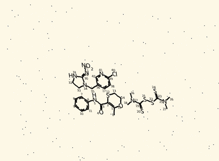 CC1=C(C(=O)Nc2ccccc2)SCCO1.CN(C)C(=S)SSC(=S)N(C)C.O=[N+]([O-])/N=C1\NCCN1Cc1ccc(Cl)nc1